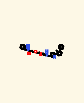 Cc1c(-c2ccccc2)cccc1-c1ccc(CNCCOCCOCCC(=O)NCc2ccccc2)cn1